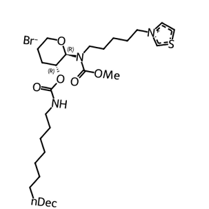 CCCCCCCCCCCCCCCCCNC(=O)O[C@@H]1CCCO[C@H]1N(CCCCC[n+]1ccsc1)C(=O)OC.[Br-]